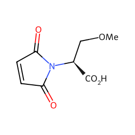 COC[C@@H](C(=O)O)N1C(=O)C=CC1=O